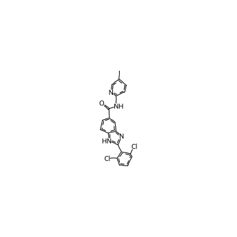 Cc1ccc(NC(=O)c2ccc3[nH]c(-c4c(Cl)cccc4Cl)nc3c2)nc1